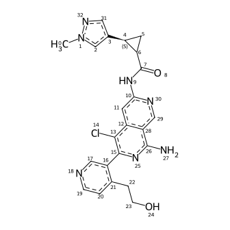 Cn1cc([C@H]2CC2C(=O)Nc2cc3c(Cl)c(-c4cnccc4CCO)nc(N)c3cn2)cn1